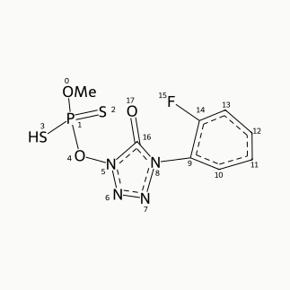 COP(=S)(S)On1nnn(-c2ccccc2F)c1=O